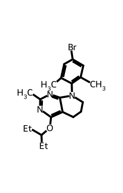 CCC(CC)Oc1nc(C)nc2c1CCCN2c1c(C)cc(Br)cc1C